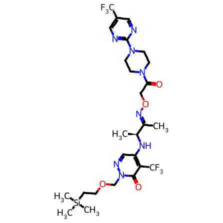 C/C(=N\OCC(=O)N1CCN(c2ncc(C(F)(F)F)cn2)CC1)[C@H](C)Nc1cnn(COCC[Si](C)(C)C)c(=O)c1C(F)(F)F